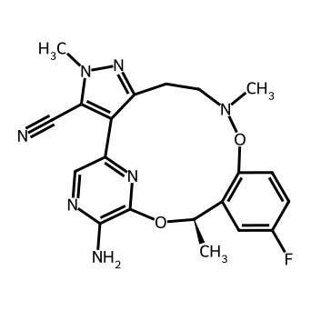 C[C@H]1Oc2nc(cnc2N)-c2c(nn(C)c2C#N)CCN(C)Oc2ccc(F)cc21